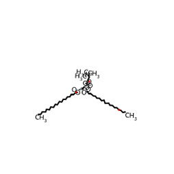 CCCCCCCCCCCCCCCCCC=CC(=O)OC[C@H](COP(=O)([O-])OCC[N+](C)(C)C)OC(=O)C=CCCCCCCCCCCCCCCCCC